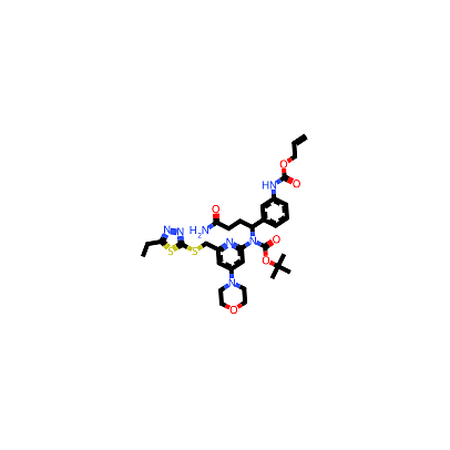 C=CCOC(=O)Nc1cccc(C(CCC(N)=O)N(C(=O)OC(C)(C)C)c2cc(N3CCOCC3)cc(CSc3nnc(CC)s3)n2)c1